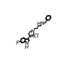 Cl.Fc1ccc2c(C3CCN(CCCCNCc4ccccc4)CC3)c[nH]c2c1